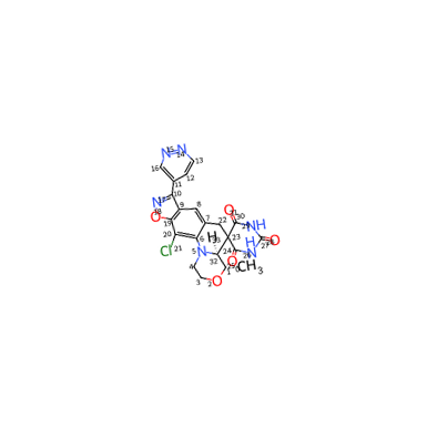 C[C@@H]1OCCN2c3c(cc4c(-c5ccnnc5)noc4c3Cl)CC3(C(=O)NC(=O)NC3=O)[C@@H]12